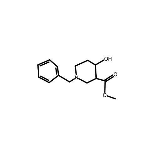 COC(=O)C1CN(Cc2ccccc2)CCC1O